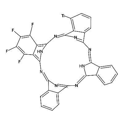 Fc1c(F)c(F)c2c3nc4nc(nc5[nH]c(nc6nc(nc([nH]3)c2c1F)-c1ccccc1-6)c1ccccc51)-c1ccc[c]([Ti])c1-4